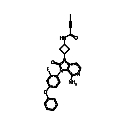 CC#CC(=O)NC1CC(n2c(=O)n(-c3ccc(Oc4ccccc4)cc3F)c3c(N)nccc32)C1